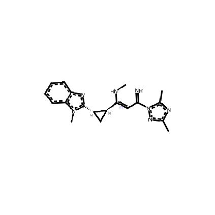 CN/C(=C\C(=N)n1nc(C)nc1C)[C@H]1C[C@@H]1c1nc2ccccc2n1C